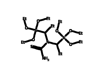 CCO[Si](OCC)(OCC)C(CC)N(C(N)=S)C(CC)[Si](OCC)(OCC)OCC